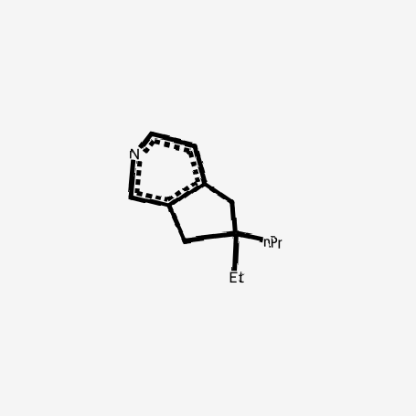 CCCC1(CC)Cc2ccncc2C1